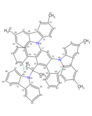 Cc1ccc2c(c1)c1cc(C)ccc1n2-c1cc(-n2c3ccc(C)cc3c3cc(C)ccc32)c(-c2ccccc2F)c(C(C)(C)n2c3ccccc3c3ccccc32)c1-c1ccccc1F